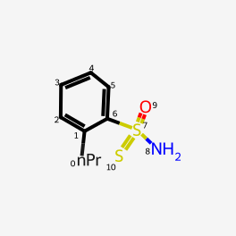 CCCc1ccccc1S(N)(=O)=S